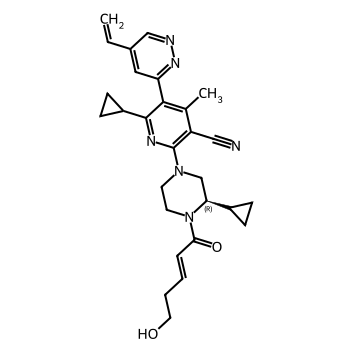 C=Cc1cnnc(-c2c(C3CC3)nc(N3CCN(C(=O)C=CCCO)[C@H](C4CC4)C3)c(C#N)c2C)c1